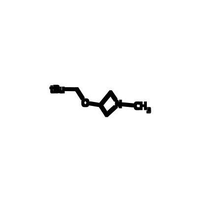 CN1CC(OCC(C)(C)C)C1